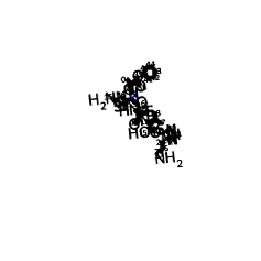 CC(O/N=C(/C(=O)NC1C(=O)N2C(C(=O)O)=C(CSc3nnnn3CCCN)CS[C@H]12)c1nsc(N)n1)C(=O)OC1CCCCC1